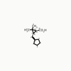 CC1(C)[C@H](C=C2CCCC2)[C@@H]1C(=O)O